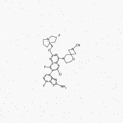 N#CN1CC2(C1)CN(c1nc(OC[C@@]34CCCN3C[C@H](F)C4)nc3c(F)c(-c4ccc(F)c5sc(N)nc45)c(Cl)cc13)CCO2